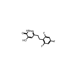 O=c1[nH]nc(CCc2c(F)cc(F)cc2F)cc1O